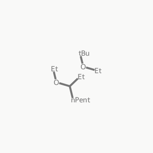 CCCCCC(CC)OCC.CCOC(C)(C)C